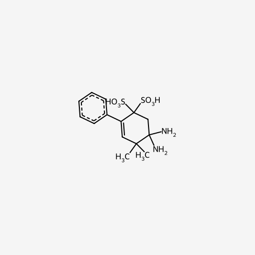 CC1(C)C=C(c2ccccc2)C(S(=O)(=O)O)(S(=O)(=O)O)CC1(N)N